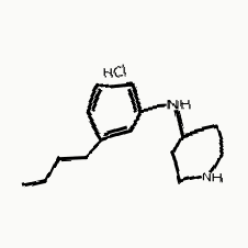 CCCCc1cccc(NC2CCNCC2)c1.Cl